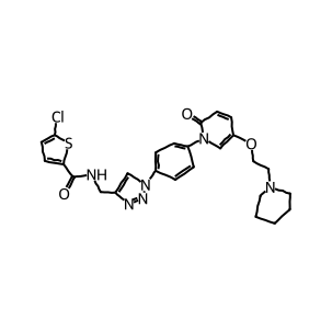 O=C(NCc1cn(-c2ccc(-n3cc(OCCN4CCCCC4)ccc3=O)cc2)nn1)c1ccc(Cl)s1